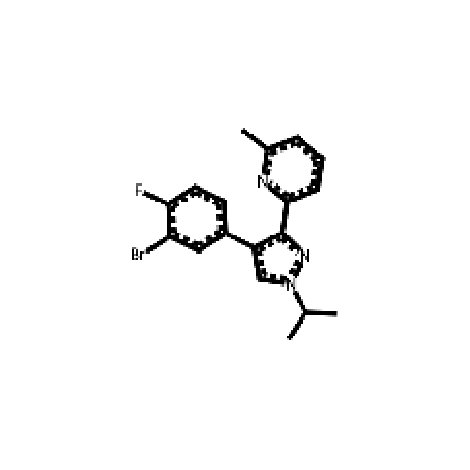 Cc1cccc(-c2nn(C(C)C)cc2-c2ccc(F)c(Br)c2)n1